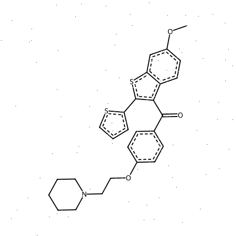 COc1ccc2c(C(=O)c3ccc(OCCN4CCCCC4)cc3)c(-c3cccs3)sc2c1